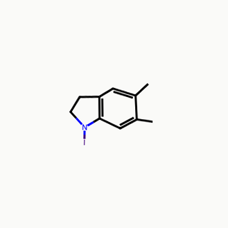 Cc1cc2c(cc1C)N(I)CC2